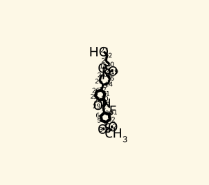 CS(=O)(=O)c1ccc(-c2nc3cc(C4CCN(S(=O)(=O)CCCO)CC4)ccc3o2)c(F)c1